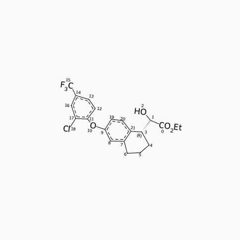 CCOC(=O)C(O)[C@@H]1CCCc2cc(Oc3ccc(C(F)(F)F)cc3Cl)ccc21